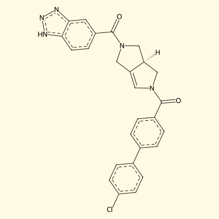 O=C(c1ccc(-c2ccc(Cl)cc2)cc1)N1C=C2CN(C(=O)c3ccc4[nH]nnc4c3)C[C@H]2C1